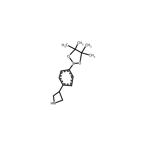 CC1(C)OB(c2ccc(C3CNC3)cc2)OC1(C)C